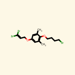 Cc1cc(OCC=C(Br)Br)cc(C)c1OCCCCBr